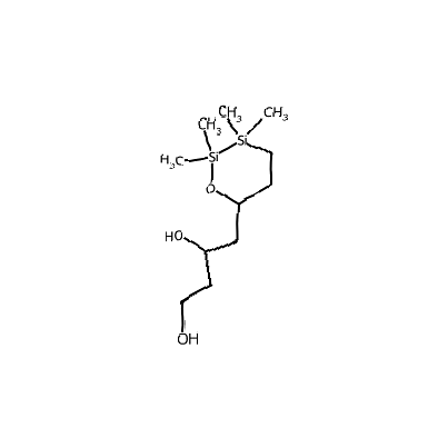 C[Si]1(C)CCC(CC(O)CCO)O[Si]1(C)C